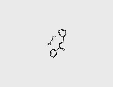 N=[N+]=N.O=C(C=Cc1ccccc1)c1ccccc1